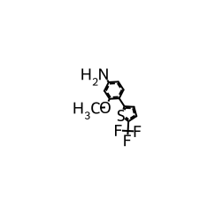 COc1cc(N)ccc1-c1ccc(C(F)(F)F)s1